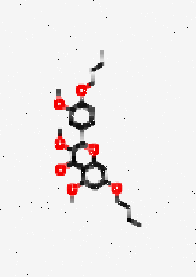 CCCCOc1cc(OC)c2c(=O)c(OC)c(-c3ccc(OCCCC)c(OC)c3)oc2c1